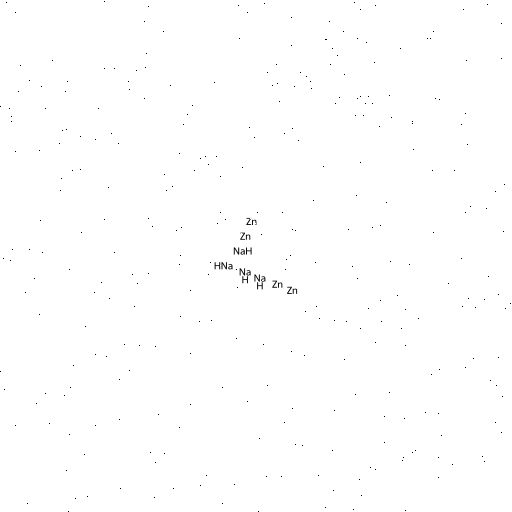 [NaH].[NaH].[NaH].[NaH].[Zn].[Zn].[Zn].[Zn]